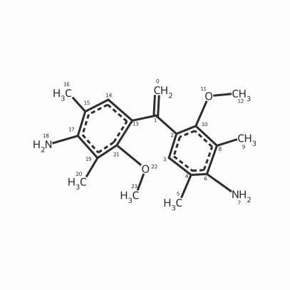 C=C(c1cc(C)c(N)c(C)c1OC)c1cc(C)c(N)c(C)c1OC